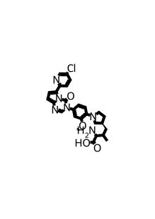 COc1cc(-n2cnc3ccc(-c4ccc(Cl)cn4)n3c2=O)ccc1N1CC[C@@H](CC(C)C(N)C(=O)O)C1